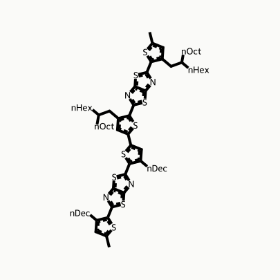 CCCCCCCCCCc1cc(C)sc1-c1nc2sc(-c3sc(-c4cc(CC(CCCCCC)CCCCCCCC)c(-c5nc6sc(-c7sc(C)cc7CC(CCCCCC)CCCCCCCC)nc6s5)s4)cc3CCCCCCCCCC)nc2s1